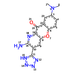 CN(C)c1ccc2oc3cc(-c4nnn[nH]4)c(N)nc3c(=O)c2c1